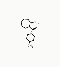 CC1CCN(C(=O)C2CCCCCN2C)CC1